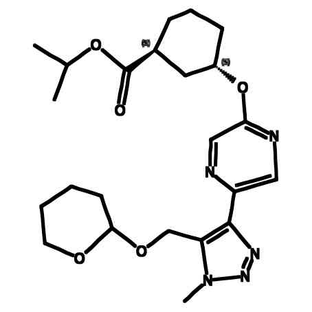 CC(C)OC(=O)[C@H]1CCC[C@H](Oc2cnc(-c3nnn(C)c3COC3CCCCO3)cn2)C1